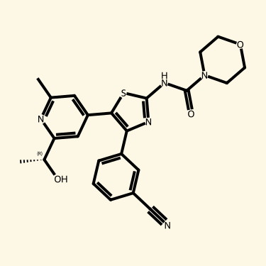 Cc1cc(-c2sc(NC(=O)N3CCOCC3)nc2-c2cccc(C#N)c2)cc([C@@H](C)O)n1